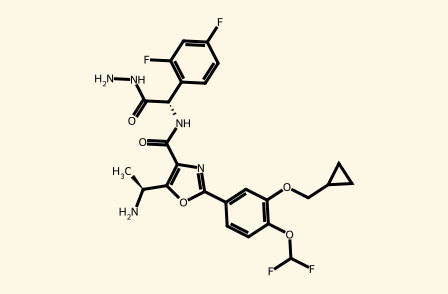 C[C@H](N)c1oc(-c2ccc(OC(F)F)c(OCC3CC3)c2)nc1C(=O)N[C@H](C(=O)NN)c1ccc(F)cc1F